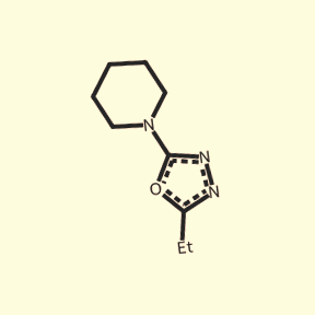 [CH2]Cc1nnc(N2CCCCC2)o1